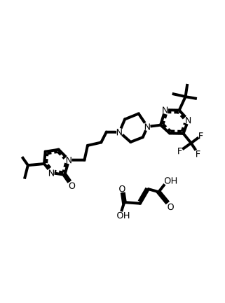 CC(C)c1ccn(CCCCN2CCN(c3cc(C(F)(F)F)nc(C(C)(C)C)n3)CC2)c(=O)n1.O=C(O)C=CC(=O)O